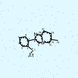 CCSc1ccccc1-c1cn2cc(C)ccc2n1